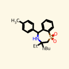 CCCCC1(CC)CS(=O)(=O)c2ccccc2C(c2ccc(C)cc2)N1